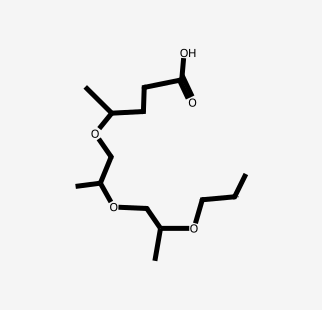 C[CH]COC(C)COC(C)COC(C)CCC(=O)O